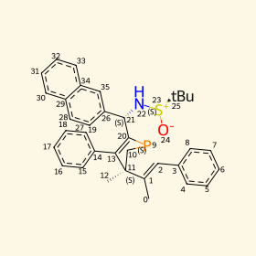 CC1=C(c2ccccc2)[P@@]2C[C@]1(C)C(c1ccccc1)=C2[C@@H](N[S@+]([O-])C(C)(C)C)c1ccc2ccccc2c1